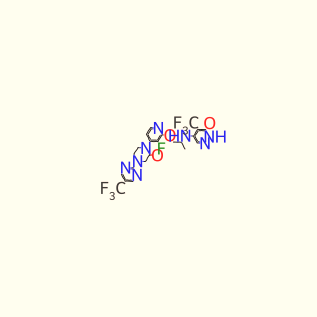 CC(COc1nccc(N2CCN(c3ncc(C(F)(F)F)cn3)CC2=O)c1F)Nc1cn[nH]c(=O)c1C(F)(F)F